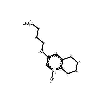 CCOC(=O)CCCOc1cc2c([n+]([O-])c1)CCCC2